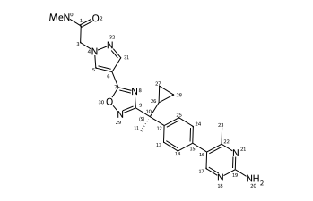 CNC(=O)Cn1cc(-c2nc([C@](C)(c3ccc(-c4cnc(N)nc4C)cc3)C3CC3)no2)cn1